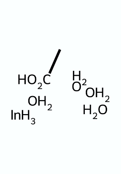 CC(=O)O.O.O.O.O.[InH3]